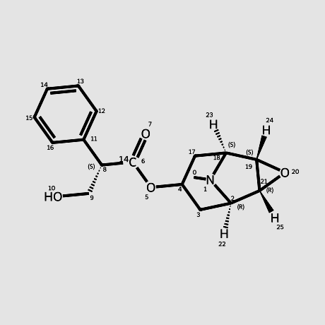 CN1[C@@H]2CC(O[14C](=O)[C@H](CO)c3ccccc3)C[C@H]1[C@@H]1O[C@@H]12